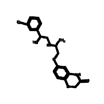 CC(COc1ccc2c(c1)NC(=O)CO2)NCC(O)c1cccc(Cl)c1